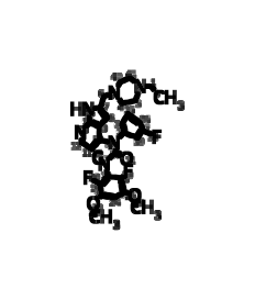 CCN1CCN(Cc2cc3c4c(cnc3[nH]2)CN(c2c(F)c(OC)cc(OC)c2F)C(=O)N4c2cccc(F)c2)CC1